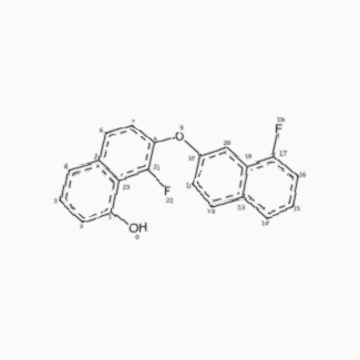 Oc1cccc2ccc(Oc3ccc4cccc(F)c4c3)c(F)c12